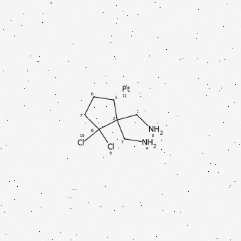 NCC1(CN)CCCC1(Cl)Cl.[Pt]